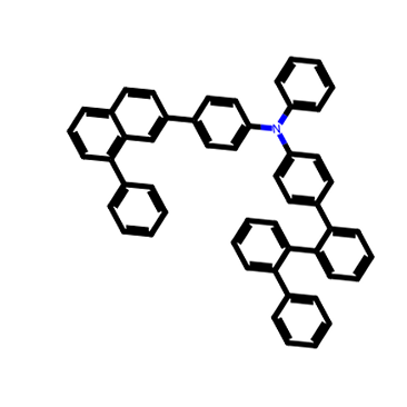 c1ccc(-c2ccccc2-c2ccccc2-c2ccc(N(c3ccccc3)c3ccc(-c4ccc5cccc(-c6ccccc6)c5c4)cc3)cc2)cc1